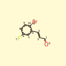 O=C/C=C/c1cc(F)ccc1Br